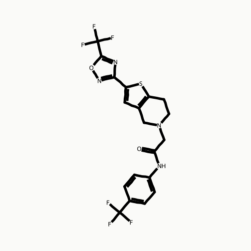 O=C(CN1CCc2sc(-c3noc(C(F)(F)F)n3)cc2C1)Nc1ccc(C(F)(F)F)cc1